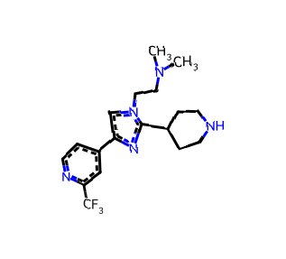 CN(C)CCn1cc(-c2ccnc(C(F)(F)F)c2)nc1C1CCNCC1